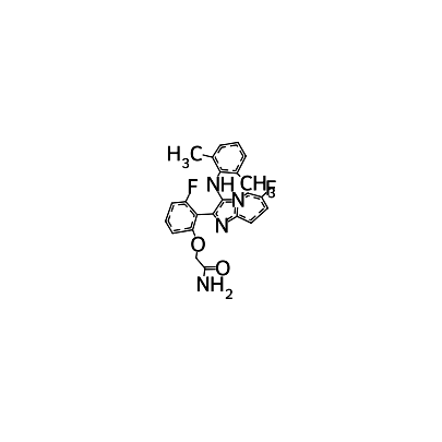 Cc1cccc(C)c1Nc1c(-c2c(F)cccc2OCC(N)=O)nc2ccc(F)cn12